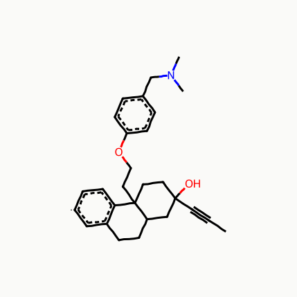 CC#CC1(O)CCC2(CCOc3ccc(CN(C)C)cc3)c3cc[c]cc3CCC2C1